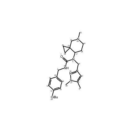 Cc1cc(CN(C(=O)NCc2ccc(OCC(C)C)cc2)C2CCN(C)CC23CC3)nn1C